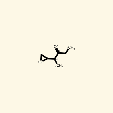 CCC(=O)C(C)C1CO1